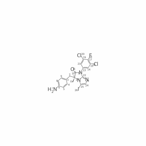 C[C@@]1(Cc2ccc(N)cc2)C(=O)N(c2cc(Cl)c(F)c(Cl)c2)c2ncc(I)n21